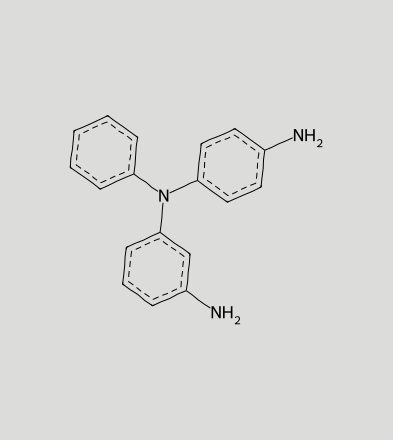 Nc1ccc(N(c2ccccc2)c2cccc(N)c2)cc1